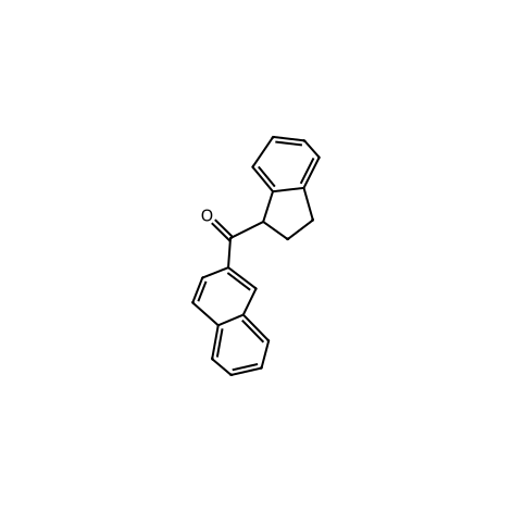 O=C(c1ccc2ccccc2c1)C1CCc2ccccc21